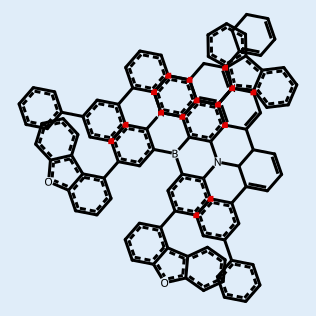 C1=CCCC(C2=CC=CC(c3cccc(-c4cccc(-c5ccccc5)c4)c3N3c4ccc(-c5cccc6oc7ccccc7c56)cc4B4c5cc(-c6cccc7oc8ccccc8c67)ccc5N(C5C(c6cccc(-c7ccccc7)c6)=CC=CC5C5=CCCC(c6ccccc6)=C5)c5cc(-n6c7ccccc7c7ccccc76)cc3c54)C2)=C1